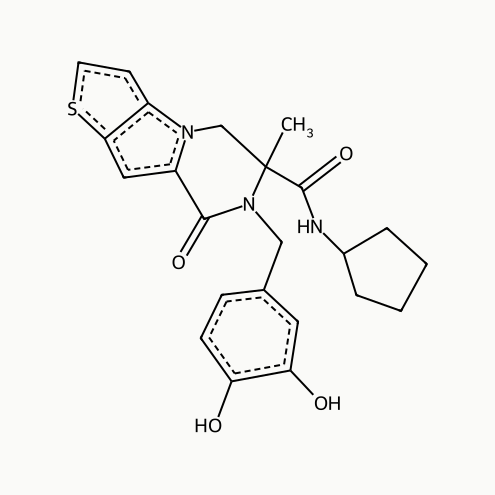 CC1(C(=O)NC2CCCC2)Cn2c(cc3sccc32)C(=O)N1Cc1ccc(O)c(O)c1